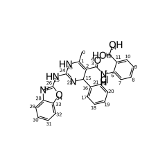 CC1=C(C(=O)Nc2ccccc2C(O)O)C(c2ccccc2Cl)N=C(Nc2nc3ccccc3o2)N1